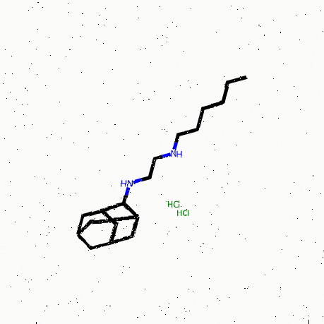 CCCCCCNCCNC1C2CC3CC(C2)CC1C3.Cl.Cl